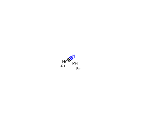 C#N.[Fe].[KH].[Zn]